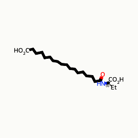 CC[C@H](NC(=O)CCCCCCCCCCCCCCCCC(=O)O)C(=O)O